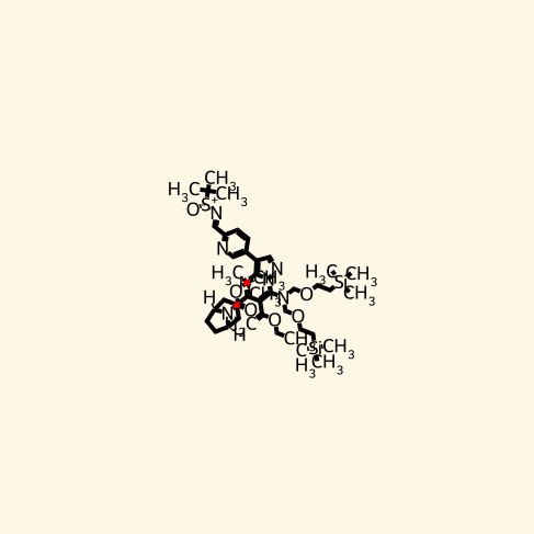 C=C(OCC)c1c(C2C[C@H]3CC[C@@H](C2)N3C(=O)OC(C)(C)C)nc2c(-c3ccc(C=N[S+]([O-])C(C)(C)C)nc3)cnn2c1N(COCC[Si](C)(C)C)COCC[Si](C)(C)C